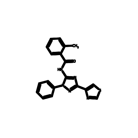 Cc1ccccc1C(=O)Nc1nc(-c2cscn2)nn1-c1ccccc1